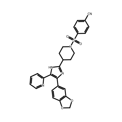 N#Cc1ccc(S(=O)(=O)N2CCC(c3nc(-c4ccc5c(c4)OCO5)c(-c4ccccn4)[nH]3)CC2)cc1